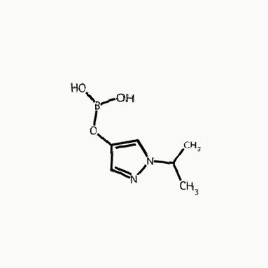 CC(C)n1cc(OB(O)O)cn1